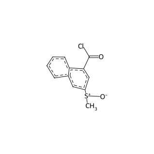 C[S+]([O-])c1cc(C(=O)Cl)c2ccccc2c1